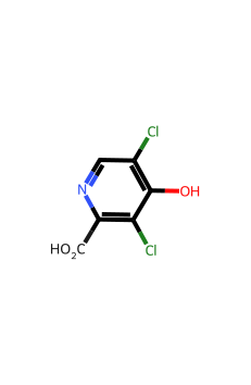 O=C(O)c1ncc(Cl)c(O)c1Cl